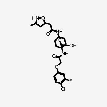 CC1CC(CC(=O)NC23CCC(NC(=O)COc4ccc(Cl)c(F)c4)(CC2)C(O)C3)ON1